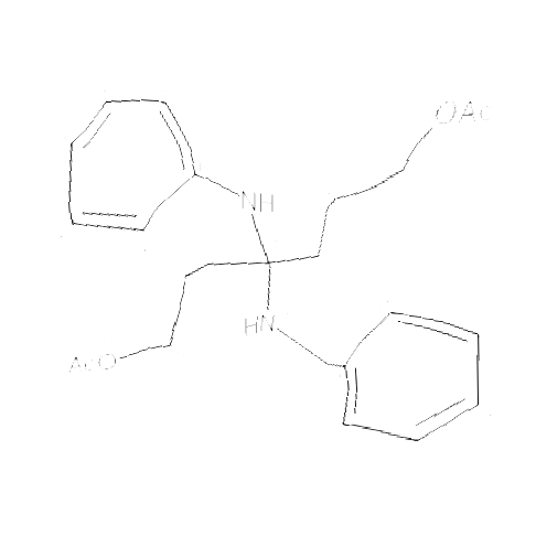 CC(=O)OCCCC(CCOC(C)=O)(Nc1ccccc1)Nc1ccccc1